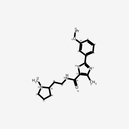 Cc1nc(-c2cccc(OC(C)C)c2)sc1C(=O)NCCC1CCCN1C